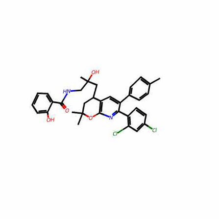 Cc1ccc(-c2cc3c(nc2-c2ccc(Cl)cc2Cl)OC(C)(C)CC3CC(C)(O)CNC(=O)c2ccccc2O)cc1